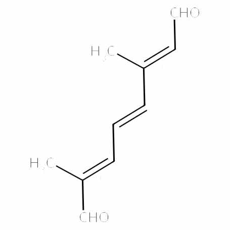 C\C(C=O)=C/C=C/C(C)=C/C=O